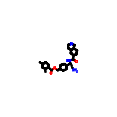 Cc1ccc(C(=O)OCc2ccc(C(CN)NC(=O)c3ccc4cnccc4c3)cc2)c(C)c1